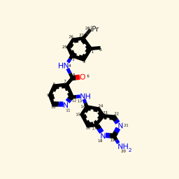 Cc1cc(NC(=O)c2cccnc2Nc2ccc3nc(N)ncc3c2)ccc1C(C)C